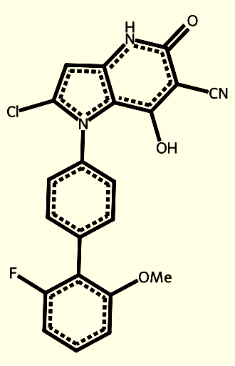 COc1cccc(F)c1-c1ccc(-n2c(Cl)cc3[nH]c(=O)c(C#N)c(O)c32)cc1